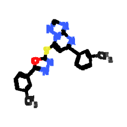 FC(F)(F)c1cccc(-c2cc(Sc3nnc(-c4cccc(C(F)(F)F)c4)o3)n3ncnc3n2)c1